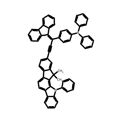 CC1(C)c2cc(C#CC(=C3c4ccccc4-c4ccccc43)c3ccc(N(c4ccccc4)c4ccccc4)cc3)ccc2-c2ccc3c4ccccc4n(-c4ccccc4)c3c21